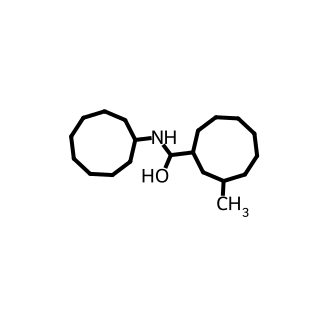 CC1CCCCCCC(C(O)NC2CCCCCCCC2)C1